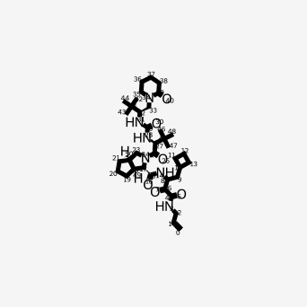 C=CCNC(=O)C(=O)C(CC1CCC1)NC(=O)[C@@H]1[C@H]2CCC[C@H]2CN1C(=O)[C@@H](NC(=O)N[C@H](CN1CCCCC1=O)C(C)(C)C)C(C)(C)C